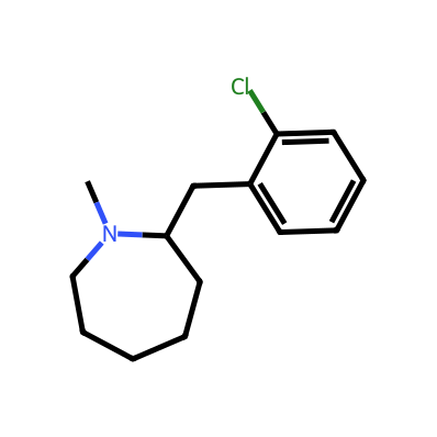 CN1CCCCCC1Cc1ccccc1Cl